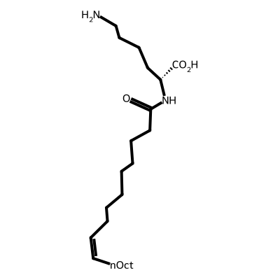 CCCCCCCC/C=C\CCCCCCCC(=O)N[C@H](CCCCN)C(=O)O